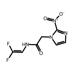 O=C(Cn1ccnc1[N+](=O)[O-])NC=C(F)F